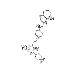 O=C(N[C@@H](CCN1CCC(NCc2ccc3c(n2)NCCC3)CC1)C(=O)O)C1CCC(F)(F)CC1